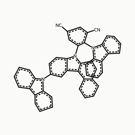 N#Cc1cc(C#N)c(-n2c3ccccc3c3ccccc32)c(-n2c3ccc(-n4c5ccccc5c5ccccc54)cc3c3c4ccccc4ccc32)c1